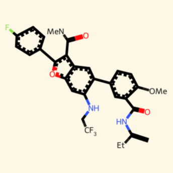 C=C(CC)NC(=O)c1cc(-c2cc3c(C(=O)NC)c(-c4ccc(F)cc4)oc3cc2NCC(F)(F)F)ccc1OC